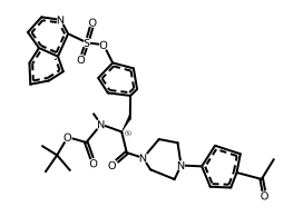 CC(=O)c1ccc(N2CCN(C(=O)[C@H](Cc3ccc(OS(=O)(=O)c4nccc5ccccc45)cc3)N(C)C(=O)OC(C)(C)C)CC2)cc1